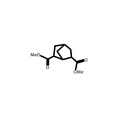 COC(=O)C1CC2CC(C(=O)OC)C1C2